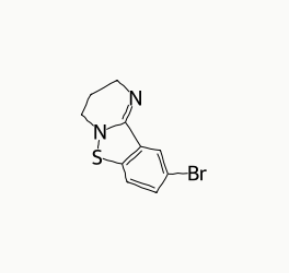 Brc1ccc2c(c1)C1=NCCCN1S2